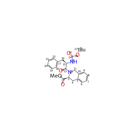 COC(=O)[C@@H]1Cc2ccccc2CN1C(=O)[C@@H](Cc1ccccc1)NC(=O)OC(C)(C)C